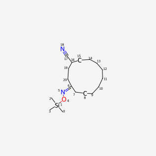 C[Si](C)(C)O/N=C1\CCCCCCCCCC(C#N)CC1